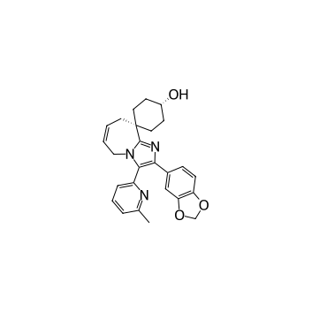 Cc1cccc(-c2c(-c3ccc4c(c3)OCO4)nc3n2CC=CC[C@]32CC[C@@H](O)CC2)n1